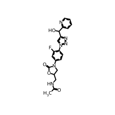 CC(=O)NCC1CN(c2ccc(-n3cc(C(O)c4ccccn4)nn3)c(F)c2)C(=O)O1